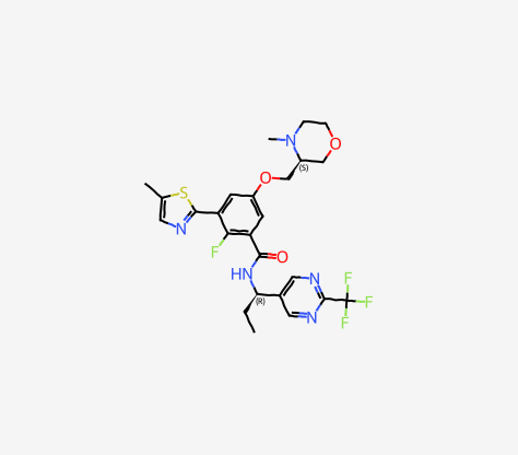 CC[C@@H](NC(=O)c1cc(OC[C@@H]2COCCN2C)cc(-c2ncc(C)s2)c1F)c1cnc(C(F)(F)F)nc1